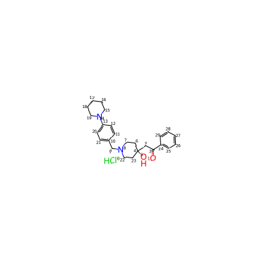 Cl.O=C(CC1(O)CCN(Cc2ccc(N3CCCCC3)cc2)CC1)c1ccccc1